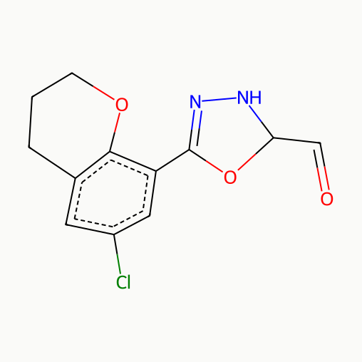 O=CC1NN=C(c2cc(Cl)cc3c2OCCC3)O1